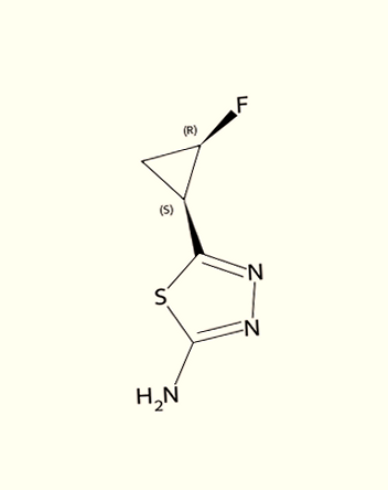 Nc1nnc([C@H]2C[C@H]2F)s1